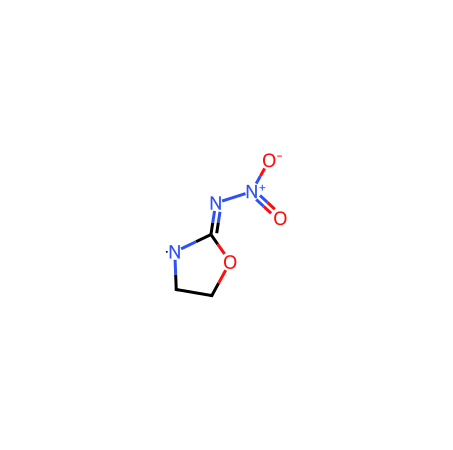 O=[N+]([O-])N=C1[N]CCO1